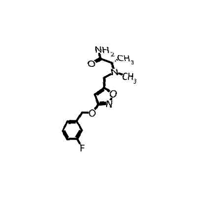 C[C@@H](C(N)=O)N(C)Cc1cc(OCc2cccc(F)c2)no1